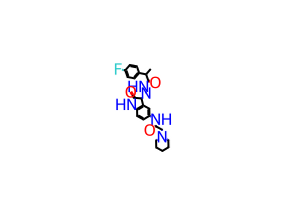 CC(C(=O)N/N=C1\C(=O)Nc2ccc(NC(=O)CN3CCCCC3)cc21)c1ccc(F)cc1